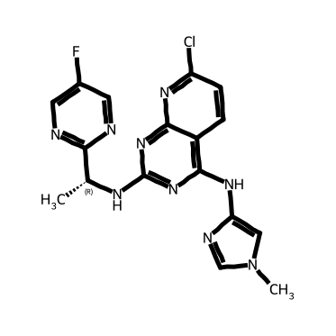 C[C@@H](Nc1nc(Nc2cn(C)cn2)c2ccc(Cl)nc2n1)c1ncc(F)cn1